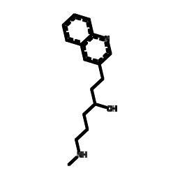 CNCCCC(O)CCc1cnc2ccccc2c1